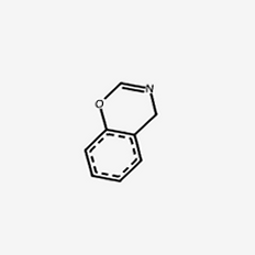 C1=NCc2ccccc2O1